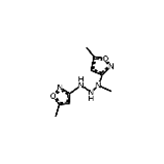 Cc1cc(NNN(C)c2cc(C)on2)no1